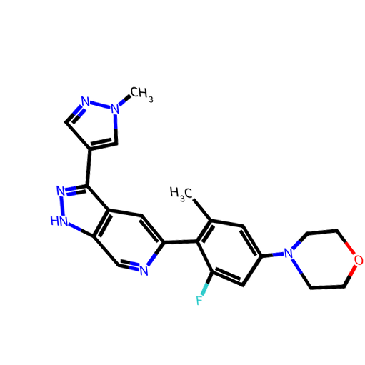 Cc1cc(N2CCOCC2)cc(F)c1-c1cc2c(-c3cnn(C)c3)n[nH]c2cn1